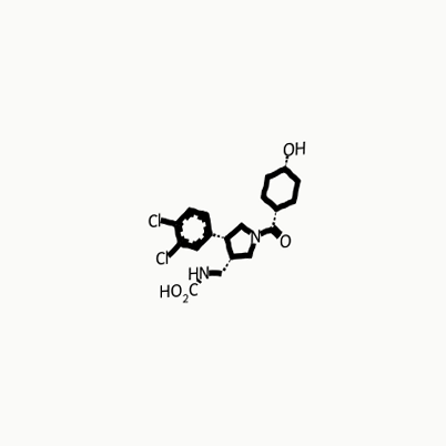 O=C(O)NC[C@H]1CN(C(=O)[C@H]2CC[C@@H](O)CC2)C[C@H]1c1ccc(Cl)c(Cl)c1